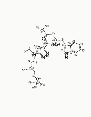 CCN(CCN(C)CCOC(F)(F)F)c1nnc(C(=O)NC(CCC(C)C)Cc2c[nH]c3ccccc23)[nH]1